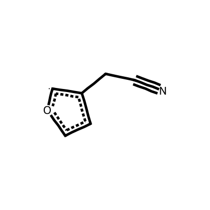 N#CCc1[c]occ1